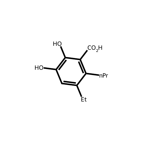 CCCc1c(CC)cc(O)c(O)c1C(=O)O